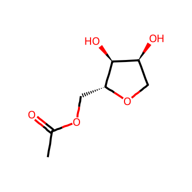 CC(=O)OC[C@H]1OC[C@H](O)[C@@H]1O